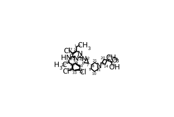 CCc1nc(N2CC([C@H]3CCCN([C@H]4C[C@](C)(C(=O)O)C4)C3)C2)nc(N[C@H](C)c2ccc(Cl)cc2Cl)c1Cl